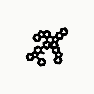 CC1c2c(c3ccccc3n2-c2ccccc2)C=CC1c1nc(-c2ccc3oc4ccccc4c3c2)nc(-c2c(-n3c4ccccc4c4cc5ccccc5cc43)ccc3oc4ccccc4c23)n1